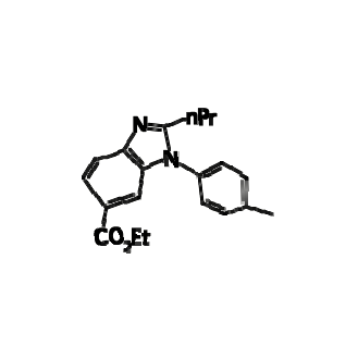 CCCc1nc2ccc(C(=O)OCC)cc2n1-c1ccc(C)cc1